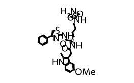 COc1ccc2[nH]c(C)c(CC(=O)N[C@@H](CCCCNS(N)(=O)=O)C(=O)Nc3nc(-c4ccccc4)cs3)c2c1